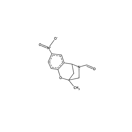 CC12CC(c3cc([N+](=O)[O-])ccc3O1)N(C=O)C2